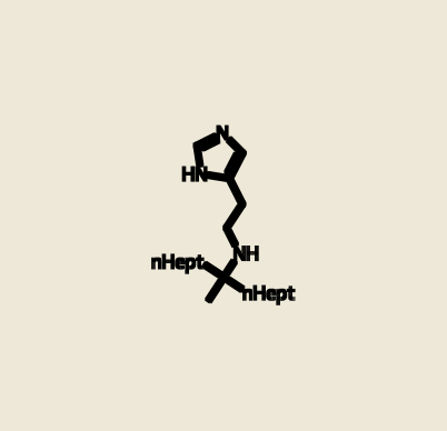 CCCCCCCC(C)(CCCCCCC)NCCc1cnc[nH]1